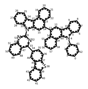 c1ccc(-n2c3ccccc3c3cc(-c4cc5c(c6ccccc46)c4ccccc4n5-c4nc(-c5ccc6sc7ccccc7c6c5)c5ccccc5n4)c4ccccc4c32)cc1